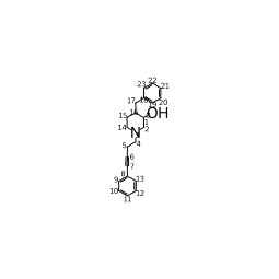 OC1CN(CCC#Cc2ccccc2)CCC1Cc1ccccc1